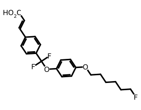 O=C(O)C=Cc1ccc(C(F)(F)Oc2ccc(OCCCCCCF)cc2)cc1